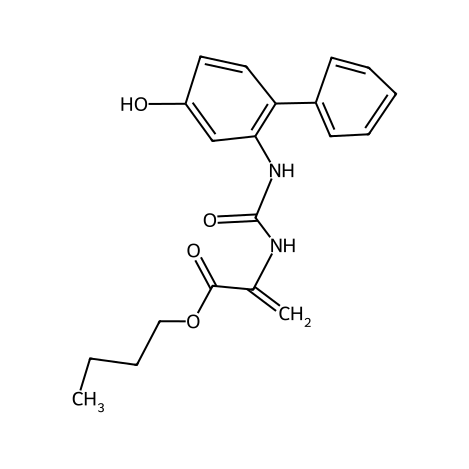 C=C(NC(=O)Nc1cc(O)ccc1-c1ccccc1)C(=O)OCCCC